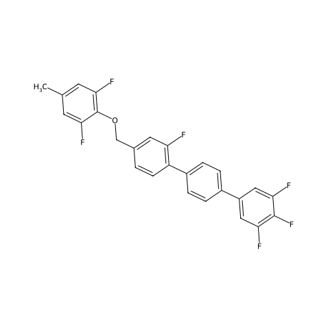 Cc1cc(F)c(OCc2ccc(-c3ccc(-c4cc(F)c(F)c(F)c4)cc3)c(F)c2)c(F)c1